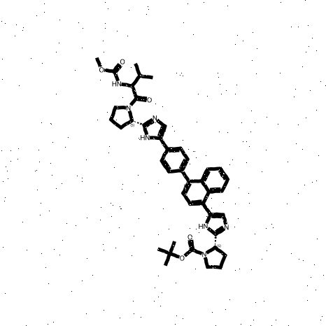 COC(=O)NC(C(=O)N1CCC[C@H]1c1ncc(-c2ccc(-c3ccc(-c4cnc([C@@H]5CCCN5C(=O)OC(C)(C)C)[nH]4)c4ccccc34)cc2)[nH]1)C(C)C